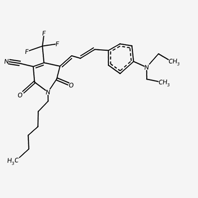 CCCCCCN1C(=O)C(C#N)=C(C(F)(F)F)/C(=C/C=C/c2ccc(N(CC)CC)cc2)C1=O